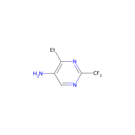 CCc1nc(C(F)(F)F)ncc1N